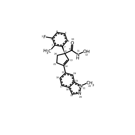 Cc1c(F)cccc1[C@@]1(C(=O)NO)C=C(c2ccc3cnn(C)c3c2)CC1